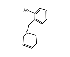 CC(=O)c1ccccc1CN1CC=CCC1